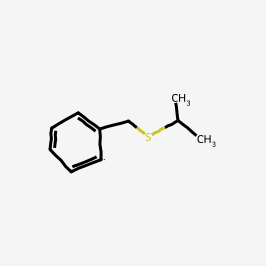 CC(C)SCc1[c]cccc1